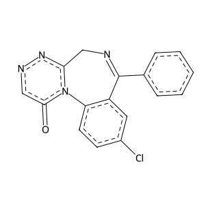 O=c1cnnc2n1-c1ccc(Cl)cc1C(c1ccccc1)=NC2